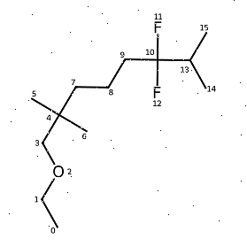 CCOCC(C)(C)CCCC(F)(F)C(C)C